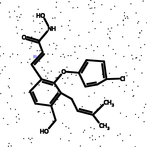 CC(C)=CCc1c(CO)ccc(/C=C/C(=O)NO)c1Oc1ccc(Cl)cc1